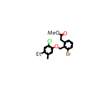 CCc1cc(Cl)c(OCc2c(Br)cccc2CC(=O)OC)cc1C